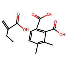 C=C(CC)C(=O)O.Cc1ccc(C(=O)O)c(C(=O)O)c1C